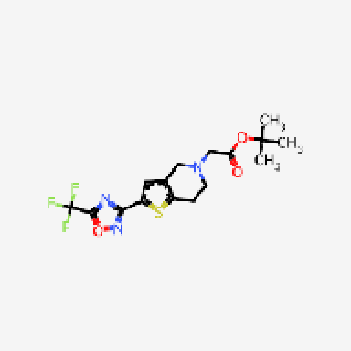 CC(C)(C)OC(=O)CN1CCc2sc(-c3noc(C(F)(F)F)n3)cc2C1